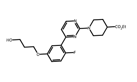 CCOC(=O)C1CCN(c2nccc(-c3cc(OCCCO)ccc3F)n2)CC1